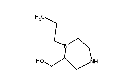 CCCN1CCNCC1CO